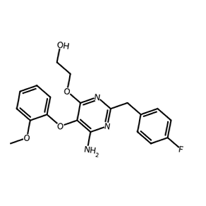 COc1ccccc1Oc1c(N)nc(Cc2ccc(F)cc2)nc1OCCO